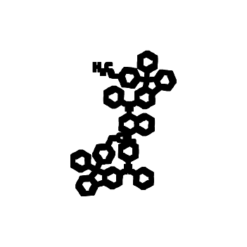 C=Cc1ccc(C2(c3ccccc3)c3ccccc3-c3ccc(N(c4ccccc4)c4ccc(-c5ccc(N(c6ccccc6)c6ccc7c(c6)C(c6ccccc6)(c6ccc(C=C)cc6)c6ccccc6-7)c6ccccc56)cc4)cc32)cc1